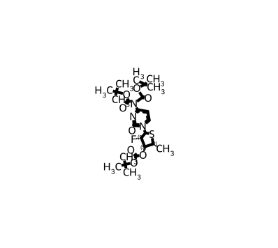 C[C@H]1SC(n2ccc(N(C(=O)OC(C)(C)C)C(=O)OC(C)(C)C)nc2=O)[C@@H](F)[C@@H]1OC(=O)OC(C)(C)C